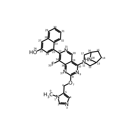 Cn1cncc1COc1nc(N2CC3CCC(C2)N3)c2cnc(-c3cc(O)cc4ccccc34)c(F)c2n1